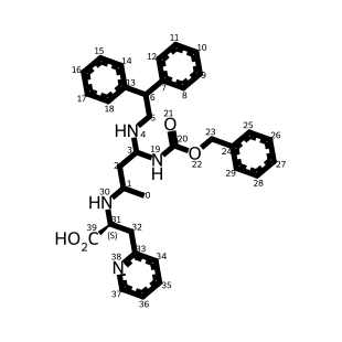 CC(CC(NCC(c1ccccc1)c1ccccc1)NC(=O)OCc1ccccc1)N[C@@H](Cc1ccccn1)C(=O)O